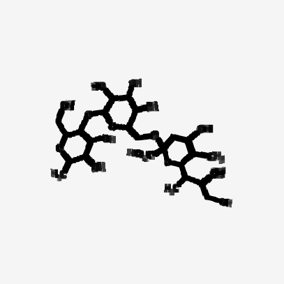 CC1OC(CO)C(OC2OC(COC3(C(=O)O)CC(O)C(C)C(C(C)C(O)CO)O3)C(O)C(O)C2O)C(O)C1O